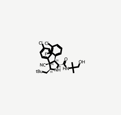 CC(C)(C)C[C@@H]1N[C@@H](C(=O)NC(C)(C)CO)[C@H](c2cccc(Cl)c2F)[C@@]1(C#N)c1ccc(Cl)cc1